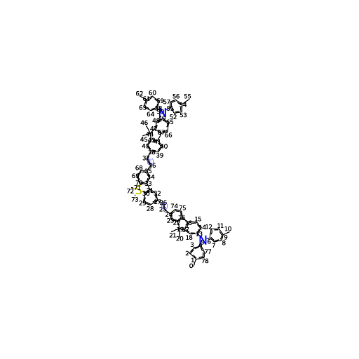 Cc1ccc(N(c2ccc(C)cc2)c2ccc3c(c2)C(C)(C)c2cc(/C=C/c4ccc5c(c4)-c4cc(/C=C/c6ccc7c(c6)C(C)(C)c6cc(N(c8ccc(C)cc8)c8ccc(C)cc8)ccc6-7)ccc4S5(C)C)ccc2-3)cc1